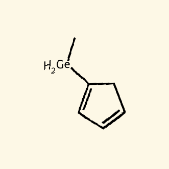 [CH3][GeH2][C]1=CC=CC1